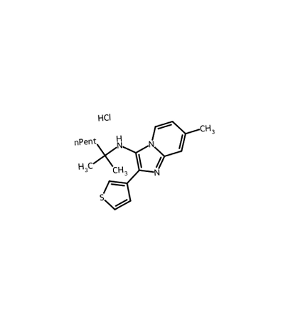 CCCCCC(C)(C)Nc1c(-c2ccsc2)nc2cc(C)ccn12.Cl